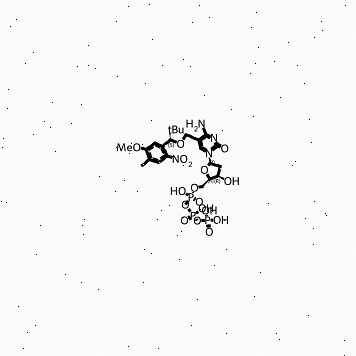 COc1cc([C@@H](OCc2cn([C@H]3C[C@@H](O)[C@@H](COP(=O)(O)OP(=O)(O)OP(=O)(O)O)O3)c(=O)nc2N)C(C)(C)C)c([N+](=O)[O-])cc1C